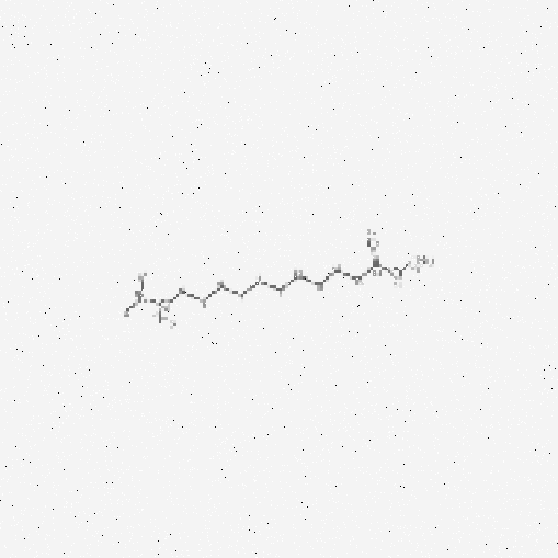 CN(C)[SiH2]CCCCCCCCCCC(=O)OC(C)(C)C